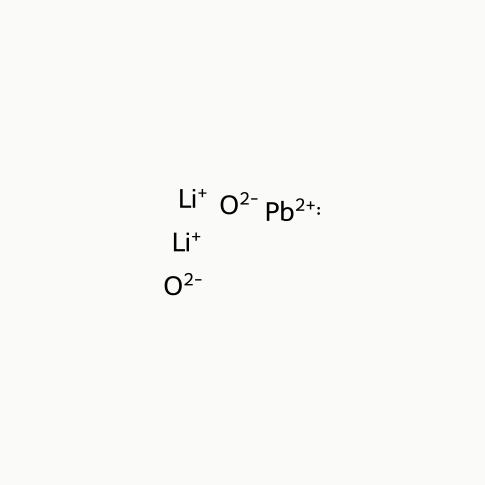 [Li+].[Li+].[O-2].[O-2].[Pb+2]